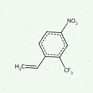 C=Cc1ccc([N+](=O)[O-])cc1C(F)(F)F